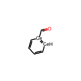 O=[CH][Ge]1=[GeH][CH]=CC=[CH]1